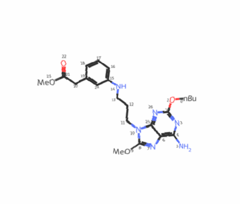 CCCCOc1nc(N)c2nc(OC)n(CCCNc3cccc(CC(=O)OC)c3)c2n1